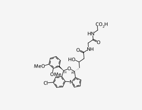 COc1cccc([C@H]2O[C@H](CC(O)CC(=O)NCC(=O)NCC(=O)O)c3cccn3-c3ccc(Cl)cc32)c1OC